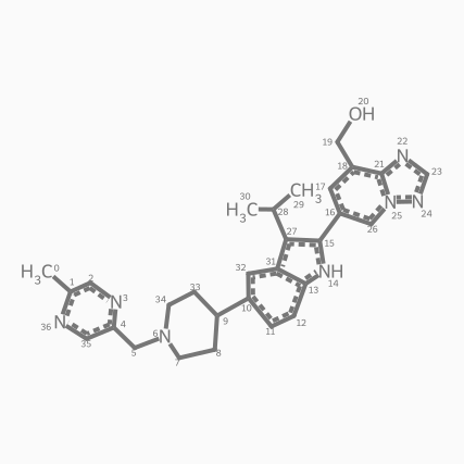 Cc1cnc(CN2CCC(c3ccc4[nH]c(-c5cc(CO)c6ncnn6c5)c(C(C)C)c4c3)CC2)cn1